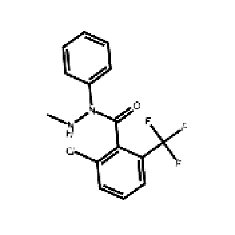 CNN(C(=O)c1c(Cl)cccc1C(F)(F)F)c1ccccc1